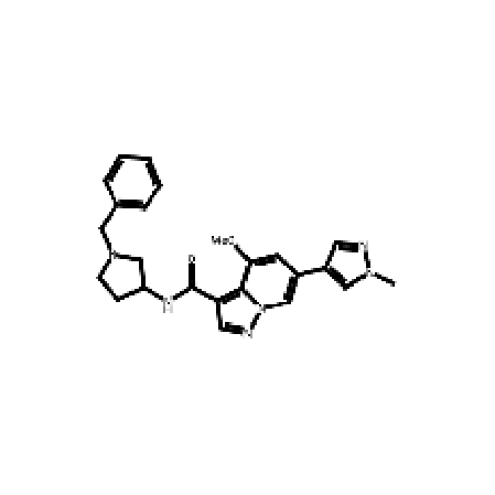 COc1cc(-c2cnn(C)c2)cn2ncc(C(=O)NC3CCN(Cc4ccccc4)C3)c12